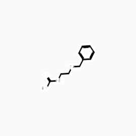 CC(C)C(=O)NCCNCc1ccccc1